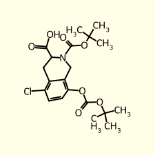 CC(C)(C)OC(=O)Oc1ccc(Cl)c2c1CN(C(=O)OC(C)(C)C)C(C(=O)O)C2